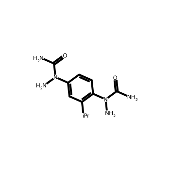 CC(C)c1cc(N(N)C(N)=O)ccc1N(N)C(N)=O